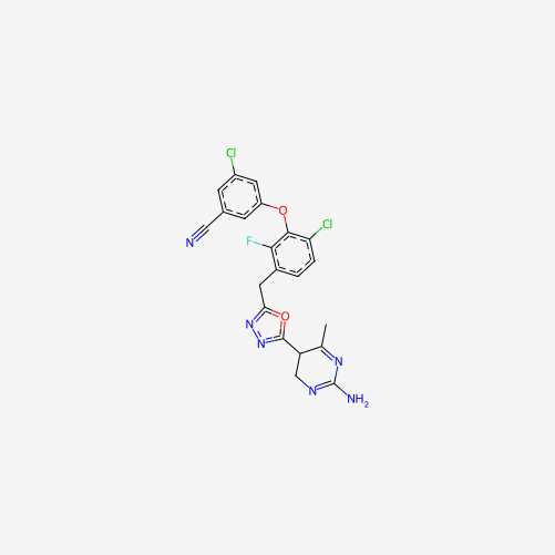 CC1=NC(N)=NCC1c1nnc(Cc2ccc(Cl)c(Oc3cc(Cl)cc(C#N)c3)c2F)o1